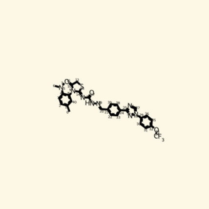 Cc1ccc(N(C)C)c(N2C(=O)CS/C2=N\C(=O)N/N=C/c2ccc(-c3ncn(-c4ccc(OC(F)(F)F)cc4)n3)cc2)c1